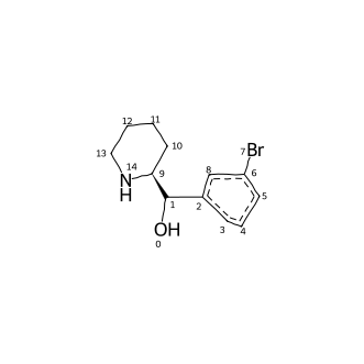 OC(c1cccc(Br)c1)[C@@H]1CCCCN1